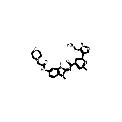 CCCCOc1c(-c2cc(C(=O)/N=c3\[nH]c4cc(NC(=O)CN5CCOCC5)ccc4n3C)cc(C)n2)cnn1C